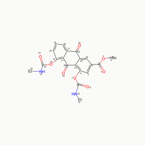 CCCCOC(=O)c1cc(OC(=O)NCC)c2c(c1)C(=O)c1cccc(OC(=O)NCC)c1C2=O